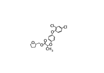 CC(Oc1ccc(Oc2ccc(Cl)cc2Cl)cc1)C(=O)OCC1CCCO1